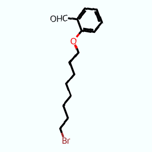 O=Cc1ccccc1OCCCCCCCCBr